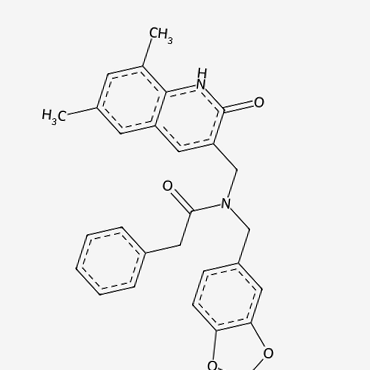 Cc1cc(C)c2[nH]c(=O)c(CN(Cc3ccc4c(c3)OCO4)C(=O)Cc3ccccc3)cc2c1